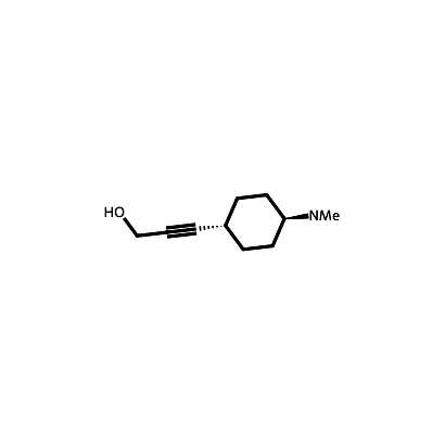 CN[C@H]1CC[C@H](C#CCO)CC1